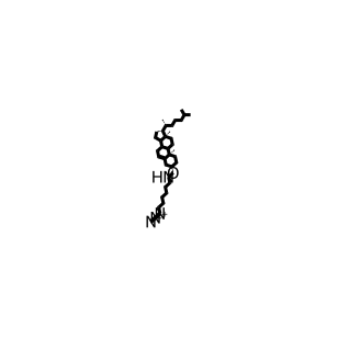 CC(C)CCC[C@@H](C)[C@H]1CCC2C3CC=C4C[C@@H](ONCCCCCCN=[N+]=[N-])CC[C@]4(C)C3CC[C@@]21C